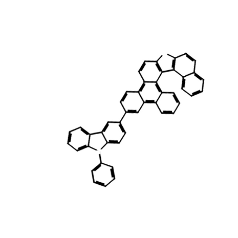 c1ccc(-n2c3ccccc3c3cc(-c4ccc5c(c4)c4ccccc4c4c5ccc5oc6ccc7ccccc7c6c54)ccc32)cc1